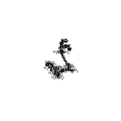 CCC(C)[C@@H]([C@@H](CC(=O)N1CCC[C@H]1[C@H](OC)[C@@H](C)C(=O)N[C@H](C)[C@@H](O)c1ccccc1)OC)N(C)C(=O)[C@@H](NC(=O)[C@H](C(C)C)N(C)C(=O)OCc1ccc(NC(=O)[C@H](CCCNC(N)=O)NC(=O)[C@@H](NC(=O)COCCOCCOCCOc2c(OC)cc(N3C(=O)C(Sc4ccc(C(=O)N5CCOCC5)cc4)=C(Sc4ccc(C(=O)N5CCOCC5)cc4)C3=O)cc2OC)C(C)C)cc1)C(C)C